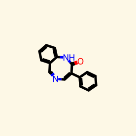 O=C1Nc2ccccc2C=NC=C1c1ccccc1